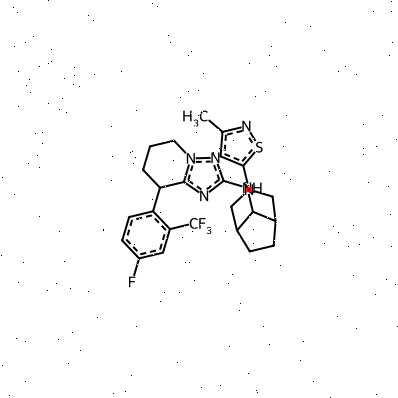 Cc1cc(N2CC3CCC(C2)C3Nc2nc3n(n2)CCCC3c2ccc(F)cc2C(F)(F)F)sn1